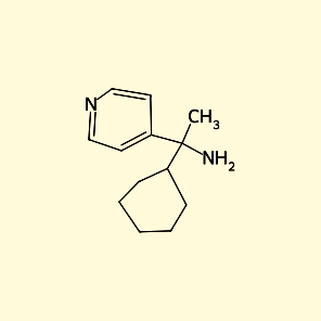 CC(N)(c1ccncc1)C1CCCCC1